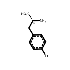 CCc1ccc(C[C@@H](N)C(=O)O)cc1